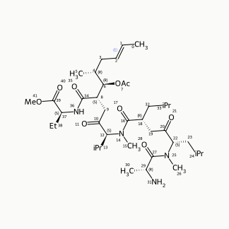 C/C=C/C[C@@H](C)[C@@H](OC(C)=O)[C@H](CC(=O)[C@H](C(C)C)N(C)C(=O)[C@@H](CC(=O)[C@H](CC(C)C)N(C)C(=O)[C@@H](C)N)CC(C)C)C(=O)N[C@@H](CC)C(=O)OC